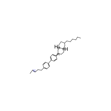 C/C=C/CCc1ccc(-c2ccc([C@@H]3CC[C@@H]4CC(CCCCCC)CC[C@@H]4C3)cc2)cc1